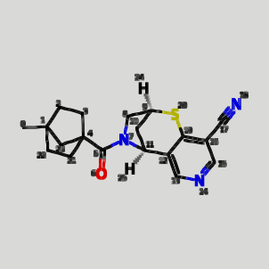 CC12CCC(C(=O)N3C[C@@H]4C[C@H]3c3cncc(C#N)c3S4)(CC1)C2